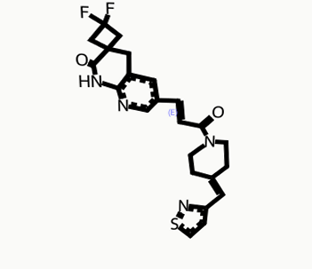 O=C(/C=C/c1cnc2c(c1)CC1(CC(F)(F)C1)C(=O)N2)N1CCC(=Cc2ccsn2)CC1